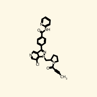 CC#CC(=O)N1CCCC1Cn1nc(-c2ccc(C(=O)Nc3ccccn3)cc2)c2cncc(Cl)c21